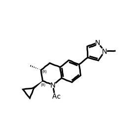 CC(=O)N1c2ccc(-c3cnn(C)c3)cc2C[C@@H](C)[C@@H]1C1CC1